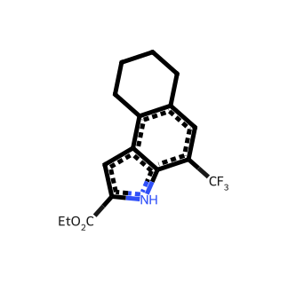 CCOC(=O)c1cc2c3c(cc(C(F)(F)F)c2[nH]1)CCCC3